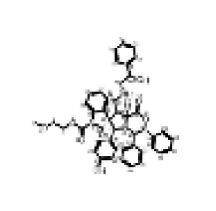 COCCOC(=O)N1C(=O)[C@@]2(c3ccccc31)[C@H](c1ccc(O)cc1)N1[C@H](c3ccccc3)[C@H](c3ccccc3)OC(=O)[C@H]1[C@@H]2C(=O)NC[C@H](O)c1ccccc1